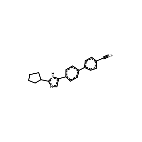 C#Cc1ccc(-c2ccc(-c3cnc(C4CCCC4)[nH]3)cc2)cc1